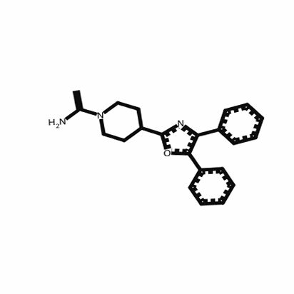 C=C(N)N1CCC(c2nc(-c3ccccc3)c(-c3ccccc3)o2)CC1